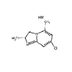 Br.CC1=NC(Cl)=CC2=NC(C)CN12